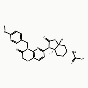 COc1ccc(CN2C(=O)COc3ccc(N4C(=O)O[C@@H]5C[C@H](NC(=O)O)CC[C@H]54)nc32)cc1